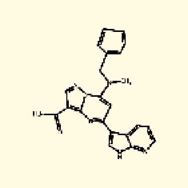 CN(Cc1ccccc1)c1cc(-c2c[nH]c3ncccc23)nc2c(C(N)=O)cnn12